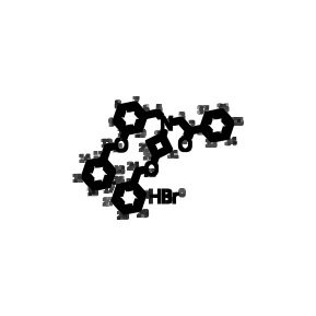 Br.O=C(CN(Cc1cccc(OCc2ccccc2)c1)C1CC(OCc2ccccc2)C1)c1ccccc1